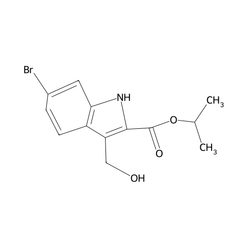 CC(C)OC(=O)c1[nH]c2cc(Br)ccc2c1CO